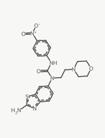 Nc1nc2ccc(N(CCN3CCOCC3)C(=O)Nc3ccc([N+](=O)[O-])cc3)cc2s1